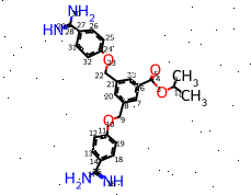 CC(C)OC(=O)c1cc(COc2ccc(C(=N)N)cc2)cc(COc2ccc(C(=N)N)cc2)c1